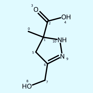 CC1(C(=O)O)CC(CO)=NN1